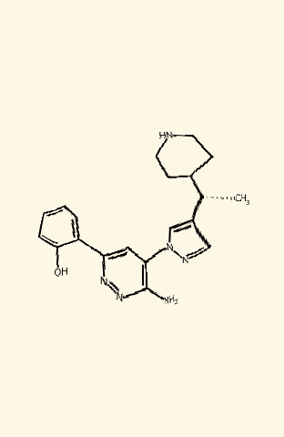 C[C@H](c1cnn(-c2cc(-c3ccccc3O)nnc2N)c1)C1CCNCC1